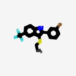 CCSc1c(-c2cccc(Br)c2)[nH]c2ccc(C(F)(F)F)cc12